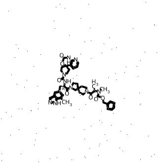 Cc1cc(C[C@@H](NC(=O)N2CCC3(CC2)OC(=O)Nc2ncccc23)C(=O)N2CCC3(CCN(C(=O)[C@@H](C)N(C)C(=O)OCc4ccccc4)CC3)C2)cc2cn[nH]c12